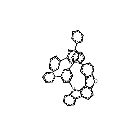 c1ccc(-c2cc(-c3ccccc3)cc(-n3c4ccccc4c4ccc5oc6ccc(-c7nc(-c8ccccc8)nc(-c8ccccc8)n7)cc6c5c43)c2)cc1